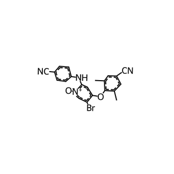 Cc1cc(C#N)cc(C)c1Oc1cc(Nc2ccc(C#N)cc2)[n+]([O-])cc1Br